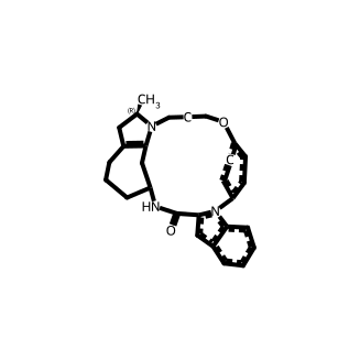 C[C@@H]1CC2=C3CC(CCC2)NC(=O)c2cc4ccccc4n2-c2ccc(cc2)OCCCN31